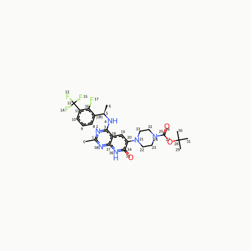 Cc1nc(N[C@H](C)c2cccc(C(F)(F)F)c2F)c2cc(N3CCN(C(=O)OC(C)(C)C)CC3)c(=O)[nH]c2n1